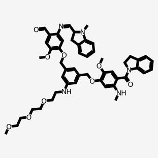 CNc1cc(OCc2cc(COc3cc(/N=C\C4Cc5ccccc5N4C)c(C=O)cc3OC)cc(NCCOCCOCCOC)c2)c(OC)cc1C(=O)N1CCc2ccccc21